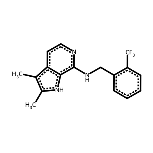 Cc1[nH]c2c(NCc3ccccc3C(F)(F)F)nccc2c1C